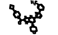 Cc1cccc(-c2ccn(-c3cc(N4CCOCC4)c4nc(C(=O)N5CCN(C6CCC6)CC5)sc4n3)n2)c1